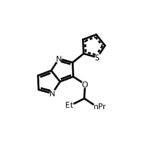 CCCC(CC)OC1=C2N=CC=C2N=C1c1cccs1